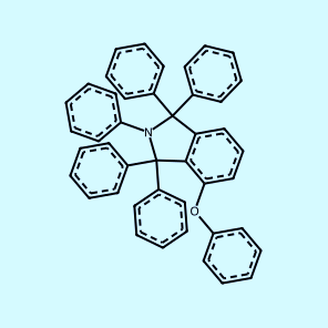 c1ccc(Oc2cccc3c2C(c2ccccc2)(c2ccccc2)N(c2ccccc2)C3(c2ccccc2)c2ccccc2)cc1